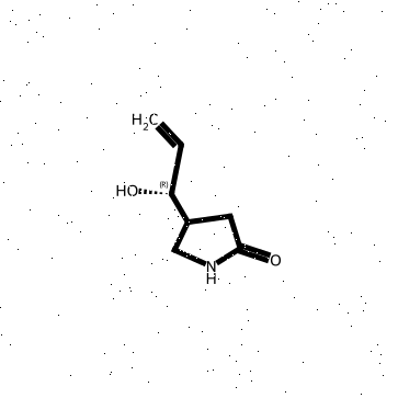 C=C[C@@H](O)C1CNC(=O)C1